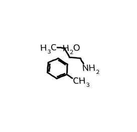 CCCCN.Cc1ccccc1.O